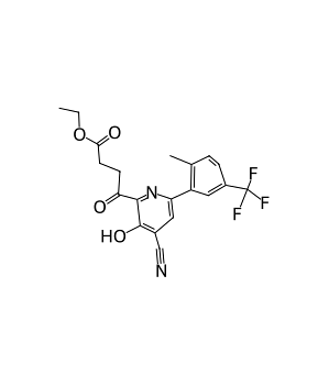 CCOC(=O)CCC(=O)c1nc(-c2cc(C(F)(F)F)ccc2C)cc(C#N)c1O